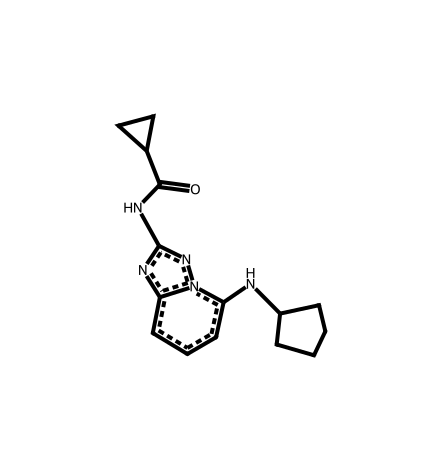 O=C(Nc1nc2cccc(NC3CCCC3)n2n1)C1CC1